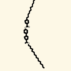 CCCCCCCCCCCCCCCCOC(C)c1ccc(-c2ccc(OC(=O)c3ccc(CCCCCCCCCCCC)cc3)cc2)cc1